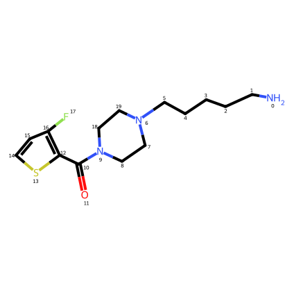 NCCCCCN1CCN(C(=O)c2sccc2F)CC1